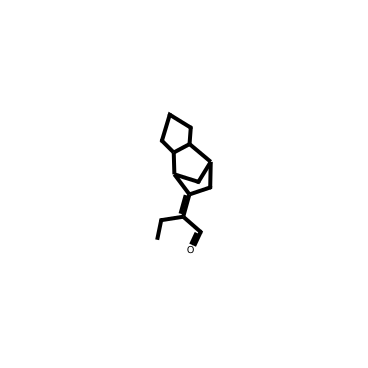 CCC(C=O)=C1CC2CC1C1CCCC21